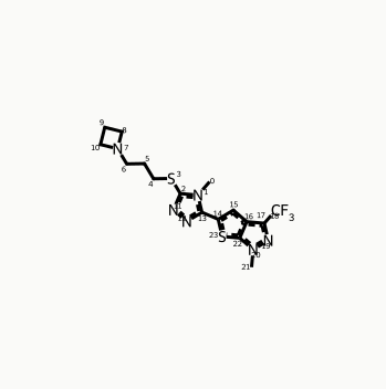 Cn1c(SCCCN2CCC2)nnc1-c1cc2c(C(F)(F)F)nn(C)c2s1